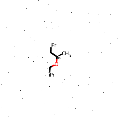 CC(C)CO[C@H](C)CC(C)C